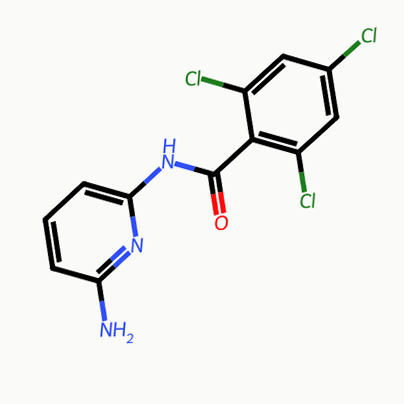 Nc1cccc(NC(=O)c2c(Cl)cc(Cl)cc2Cl)n1